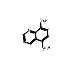 O=S(=O)(O)c1ccc(S(=O)(=O)O)c2ncccc12